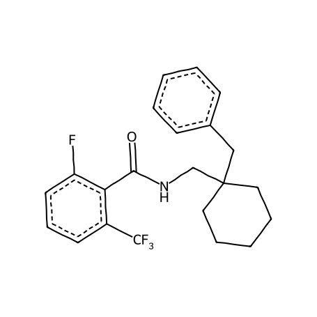 O=C(NCC1(Cc2ccccc2)CCCCC1)c1c(F)cccc1C(F)(F)F